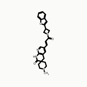 CN1CCC2(CC1)Cc1cc(/C=C/C(=O)N3CC(c4cc5ccccc5o4)C3)cnc1NC2=O